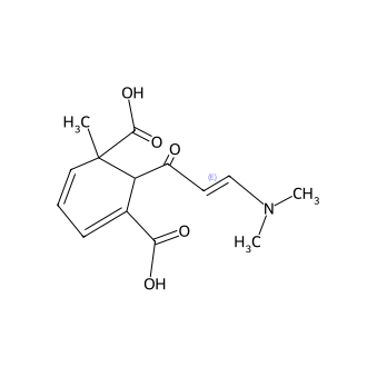 CN(C)/C=C/C(=O)C1C(C(=O)O)=CC=CC1(C)C(=O)O